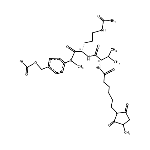 [2H]C(=O)OCc1ccc(N(C)C(=O)[C@H](CCCNC(N)=O)NC(=O)[C@@H](NC(=O)CCCCCN2C(=O)CC(C)C2=O)C(C)C)cc1